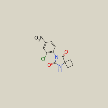 O=C1NC2(CCC2)C(=O)N1c1ccc([N+](=O)[O-])cc1Cl